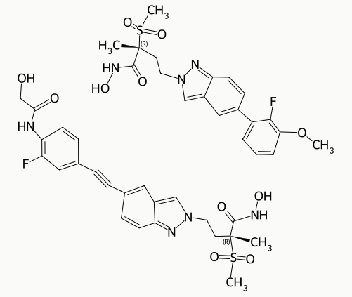 COc1cccc(-c2ccc3nn(CC[C@](C)(C(=O)NO)S(C)(=O)=O)cc3c2)c1F.C[C@@](CCn1cc2cc(C#Cc3ccc(NC(=O)CO)c(F)c3)ccc2n1)(C(=O)NO)S(C)(=O)=O